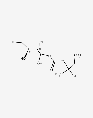 O=C(O)CC(O)(CC(=O)OC(O)[C@@H](O)[C@@H](O)CO)C(=O)O